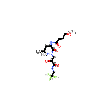 COCCCC(=O)NC(CC(C)C)C(=O)NCC(=O)C(=O)NCC(F)(F)F